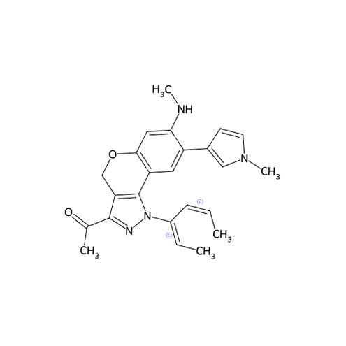 C/C=C\C(=C/C)n1nc(C(C)=O)c2c1-c1cc(-c3ccn(C)c3)c(NC)cc1OC2